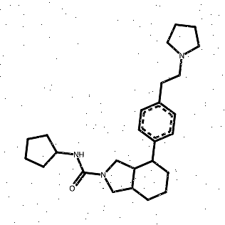 O=C(NC1CCCC1)N1CC2CCCC(c3ccc(CCN4CCCC4)cc3)C2C1